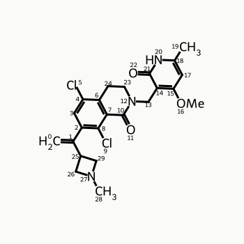 C=C(c1cc(Cl)c2c(c1Cl)C(=O)N(Cc1c(OC)cc(C)[nH]c1=O)CC2)C1CN(C)C1